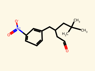 CC(C)(C)CC(CC=O)Cc1cccc([N+](=O)[O-])c1